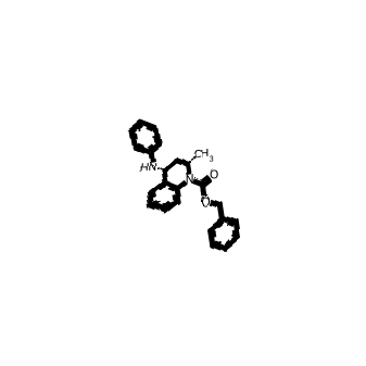 C[C@H]1C[C@@H](Nc2ccccc2)c2ccccc2N1C(=O)OCc1ccccc1